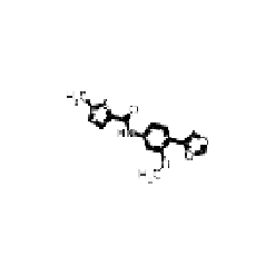 COc1cc(NC(=O)c2ccc(C)s2)ccc1-c1cnco1